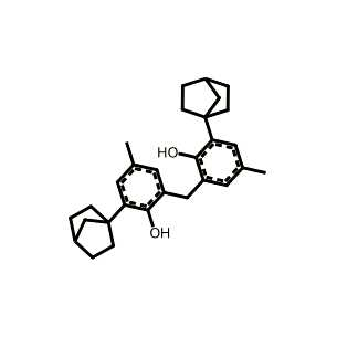 Cc1cc(Cc2cc(C)cc(C34CCC(CC3)C4)c2O)c(O)c(C23CCC(CC2)C3)c1